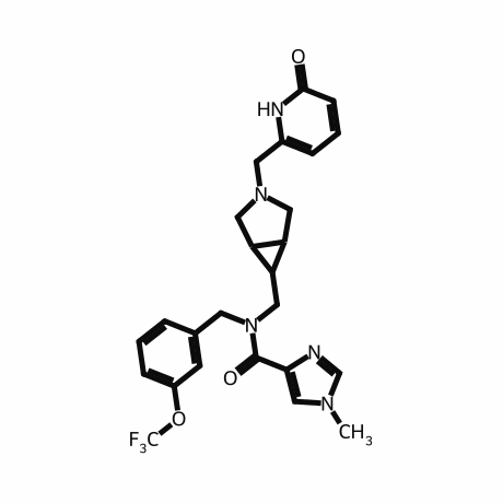 Cn1cnc(C(=O)N(Cc2cccc(OC(F)(F)F)c2)CC2C3CN(Cc4cccc(=O)[nH]4)CC32)c1